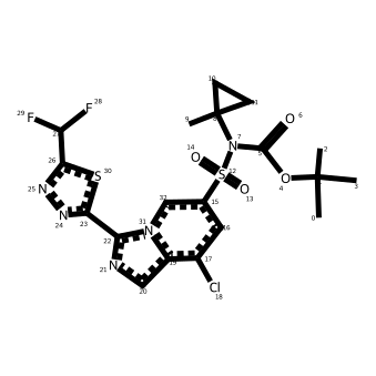 CC(C)(C)OC(=O)N(C1(C)CC1)S(=O)(=O)c1cc(Cl)c2cnc(-c3nnc(C(F)F)s3)n2c1